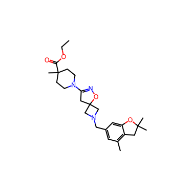 CCOC(=O)C1(C)CCN(C2=NOC3(C2)CN(Cc2cc(C)c4c(c2)OC(C)(C)C4)C3)CC1